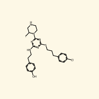 Oc1ccc(CCNc2nc(SCCCc3ccc(Cl)cc3)nc(N3CCNCC3I)n2)cc1